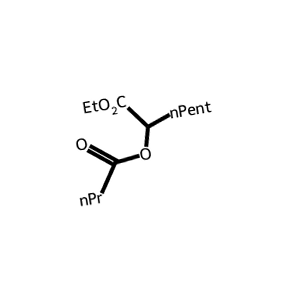 CCCCCC(OC(=O)CCC)C(=O)OCC